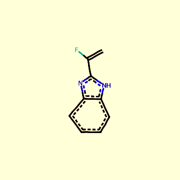 C=C(F)c1nc2ccccc2[nH]1